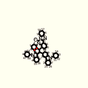 O=c1n(-c2ccccc2)c2c(-c3ccc4c(c3-c3ccc5c(c3)c3ccccc3n5-c3ccccc3)c3ccccc3n4-c3ccccc3)cccc2c2nc3ccccc3n12